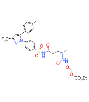 CCOC(=O)OCON=[N+]([O-])N(C)CCC(=O)NS(=O)(=O)c1ccc(-n2nc(C(F)(F)F)cc2-c2ccc(C)cc2)cc1